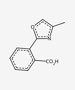 Cc1coc(-c2ccccc2C(=O)O)n1